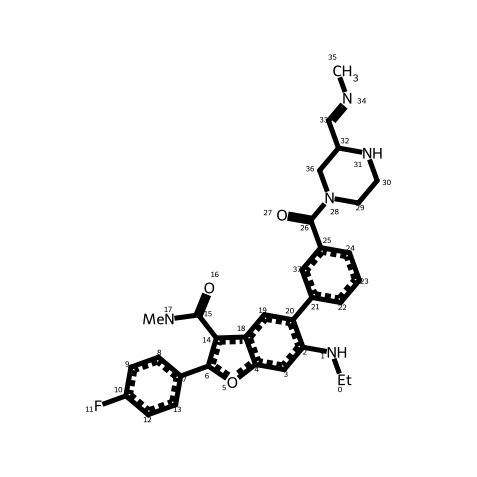 CCNc1cc2oc(-c3ccc(F)cc3)c(C(=O)NC)c2cc1-c1cccc(C(=O)N2CCNC(/C=N/C)C2)c1